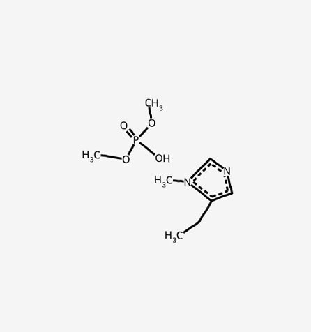 CCc1cncn1C.COP(=O)(O)OC